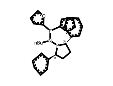 CCCCN(P(c1ccco1)c1ccco1)P1[C@H](c2ccccc2)CC[C@H]1c1ccccc1